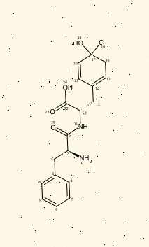 N[C@@H](Cc1ccccc1)C(=O)N[C@@H](CC1=CCC(O)(Cl)C=C1)C(=O)O